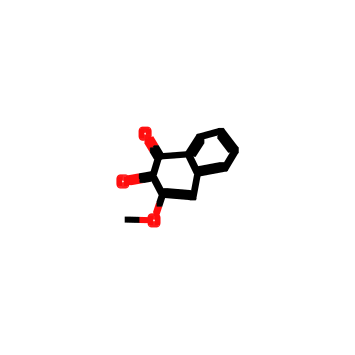 COC1=Cc2ccccc2C(=O)C1=O